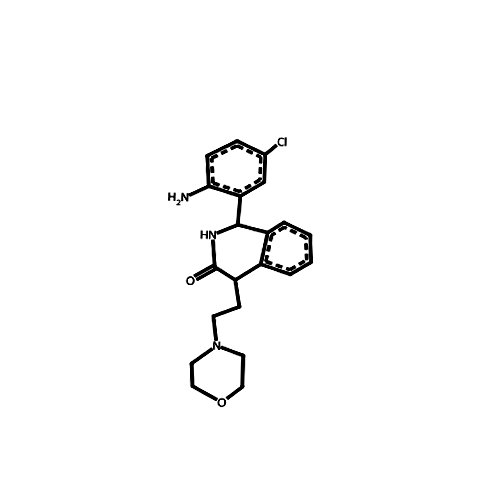 Nc1ccc(Cl)cc1C1NC(=O)C(CCN2CCOCC2)c2ccccc21